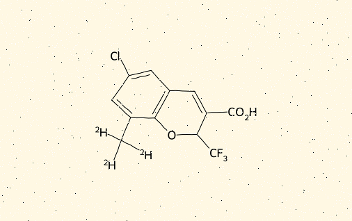 [2H]C([2H])([2H])c1cc(Cl)cc2c1OC(C(F)(F)F)C(C(=O)O)=C2